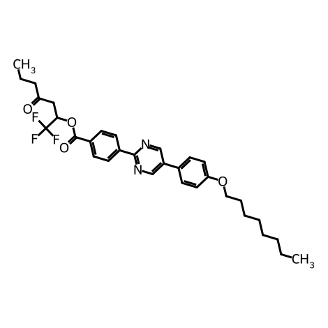 CCCCCCCCOc1ccc(-c2cnc(-c3ccc(C(=O)OC(CC(=O)CCC)C(F)(F)F)cc3)nc2)cc1